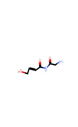 NCC(=O)NC(=O)/C=C/CO